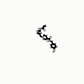 C=CC(=O)Nc1ncc(CN2CCC(C(=O)NCc3ccc(OC)cc3)CC2)s1